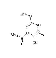 C[C@H](NC(=O)OC(C)(C)C)C(O)OC(=O)C(C)(C)C